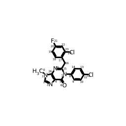 Cn1cnc2c(=O)n(-c3ccc(Cl)cc3)c(Cc3ccc(F)cc3Cl)nc21